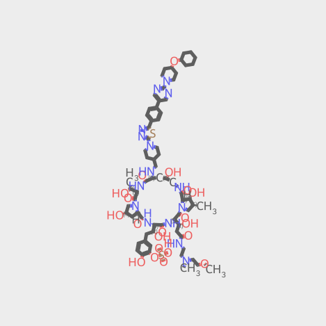 COCCN(C)CCNC(=O)C[C@@H](O)[C@@H]1NC(=O)[C@H]([C@H](O)Cc2ccc(O)c(OS(=O)(=O)O)c2)NC(=O)[C@@H]2C[C@@H](O)CN2C(=O)[C@H]([C@@H](C)O)NC(=O)[C@@H](NCC2CCN(c3nnc(-c4ccc(-c5cnc(N6CCC(OC7CCCCC7)CC6)nc5)cc4)s3)CC2)C[C@@H](O)CNC(=O)[C@@H]2[C@@H](O)[C@@H](C)CN2C1=O